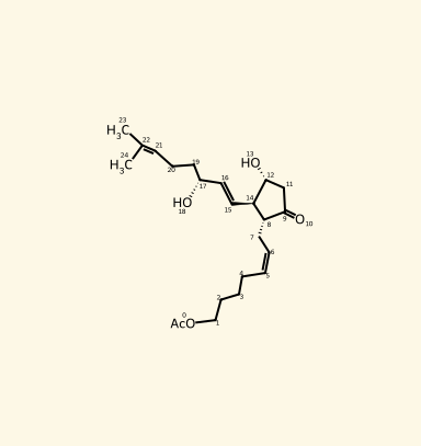 CC(=O)OCCCC/C=C\C[C@H]1C(=O)C[C@@H](O)[C@@H]1/C=C/[C@H](O)CCC=C(C)C